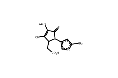 COC1=C(Cl)C(CC(=O)O)N(c2cc(C(C)(C)C)on2)C1=O